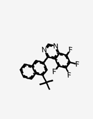 CC(C)(C)c1cc(-c2ncnc3c(F)c(F)c(F)c(F)c23)cc2ccccc12